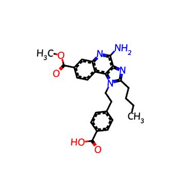 CCCCc1nc2c(N)nc3cc(C(=O)OC)ccc3c2n1CCc1ccc(C(=O)O)cc1